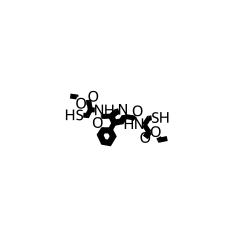 CCOC(=O)C(CS)NC(=O)c1cc(-c2ccccc2)c(C(=O)NC(CS)C(=O)OCC)cn1